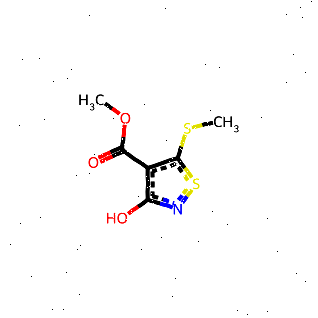 COC(=O)c1c(O)nsc1SC